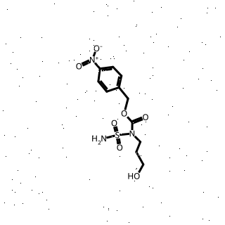 NS(=O)(=O)N(CCCO)C(=O)OCc1ccc([N+](=O)[O-])cc1